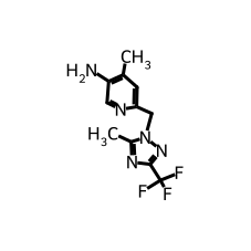 Cc1cc(Cn2nc(C(F)(F)F)nc2C)ncc1N